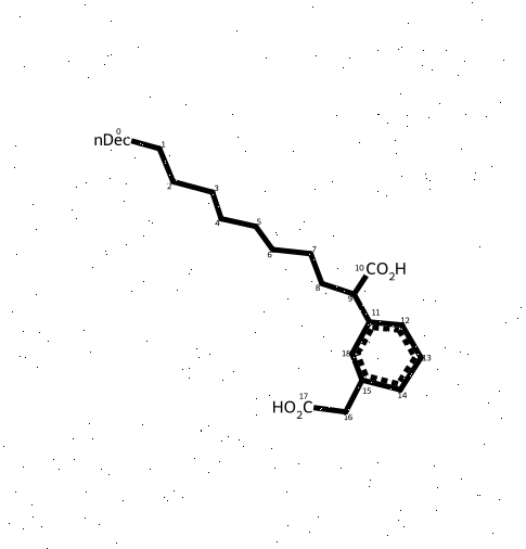 CCCCCCCCCCCCCCCCCCC(C(=O)O)c1cccc(CC(=O)O)c1